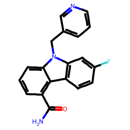 NC(=O)c1cccc2c1c1[c]cc(F)cc1n2Cc1cccnc1